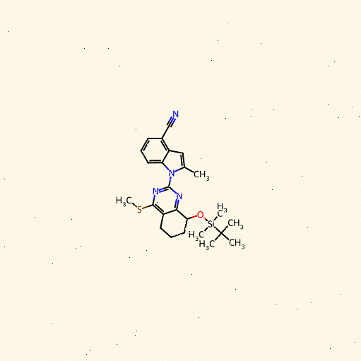 CSc1nc(-n2c(C)cc3c(C#N)cccc32)nc2c1CCCC2O[Si](C)(C)C(C)(C)C